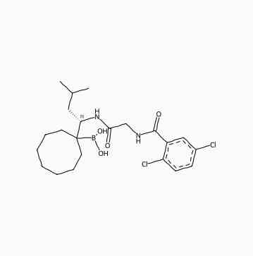 CC(C)C[C@H](NC(=O)CNC(=O)c1cc(Cl)ccc1Cl)C1(B(O)O)CCCCCCC1